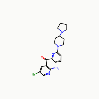 Nc1ncc(Br)cc1C(=O)c1cccc(N2CCC(N3CCCC3)CC2)n1